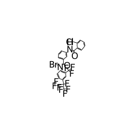 O=C(Nc1cccc(C(=O)N(Br)c2ccc(C(F)(C(F)(F)F)C(F)(F)F)cc2C(F)(F)F)c1)c1ccccc1Cl